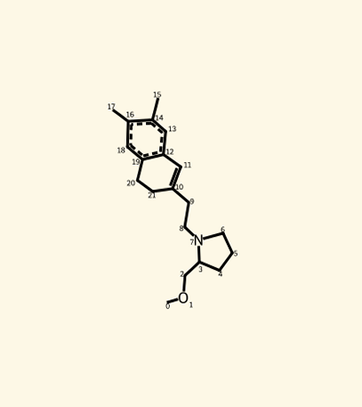 COCC1CCCN1CCC1=Cc2cc(C)c(C)cc2CC1